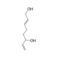 C=CC(O)CCC=CCO